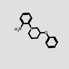 Nc1ccccc1N1CCCC(Oc2ccccc2)C1